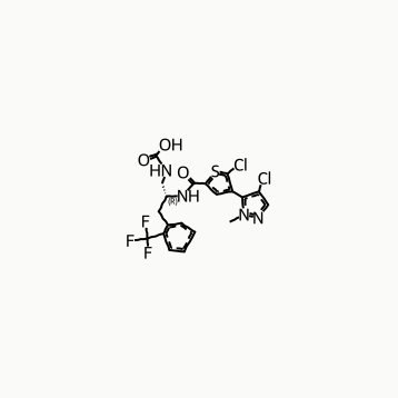 Cn1ncc(Cl)c1-c1cc(C(=O)N[C@@H](CNC(=O)O)Cc2ccccc2C(F)(F)F)sc1Cl